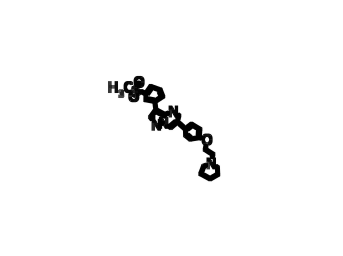 CS(=O)(=O)c1cccc(-c2cnn3cc(-c4ccc(OCCN5CCCCC5)cc4)cnc23)c1